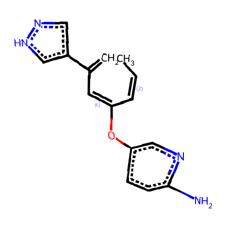 C=C(/C=C(\C=C/C)Oc1ccc(N)nc1)c1cn[nH]c1